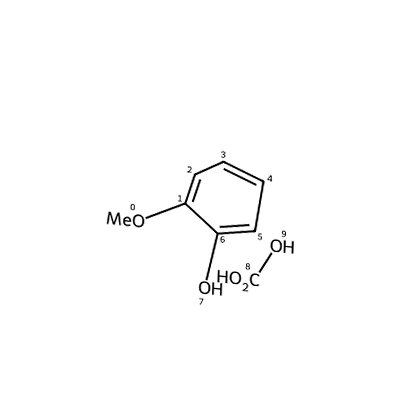 COc1ccccc1O.O=C(O)O